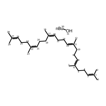 CC(C)=CCCC(C)=CCCC(C)=CCCC=C(C)CCC=C(C)CCC=C(C)C.CCCCO